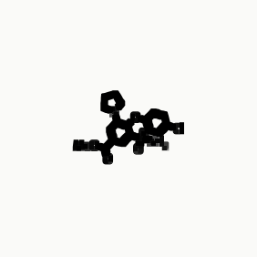 COC(=O)c1cc(N2CCCC2)c(Oc2ccc(Cl)cc2)c(S(N)(=O)=O)c1